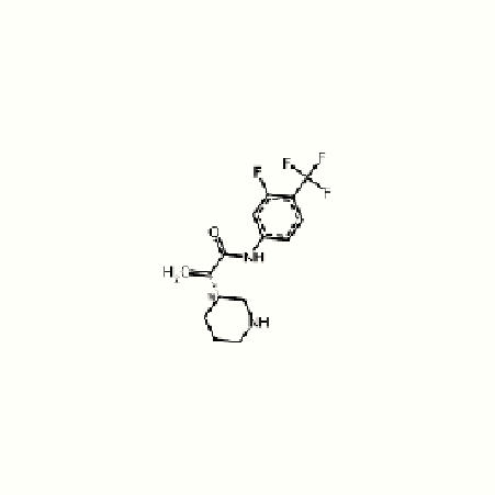 C=C(C(=O)Nc1ccc(C(F)(F)F)c(F)c1)[C@H]1CCCNC1